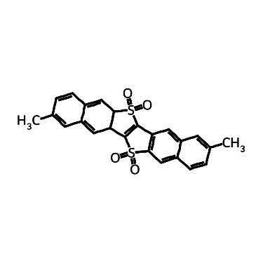 Cc1ccc2c(c1)=CC1C3=C(c4cc5cc(C)ccc5cc4S3(=O)=O)S(=O)(=O)C1C=2